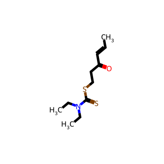 C/C=C/C(=O)CCSC(=S)N(CC)CC